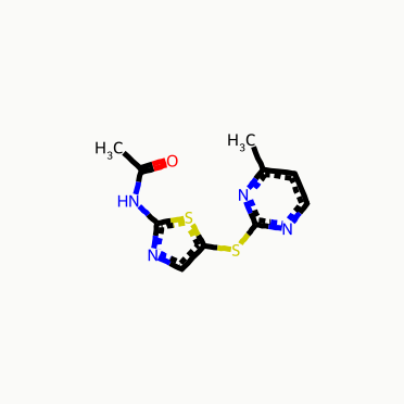 CC(=O)Nc1ncc(Sc2nccc(C)n2)s1